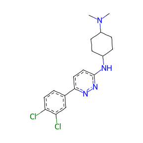 CN(C)C1CCC(Nc2ccc(-c3ccc(Cl)c(Cl)c3)nn2)CC1